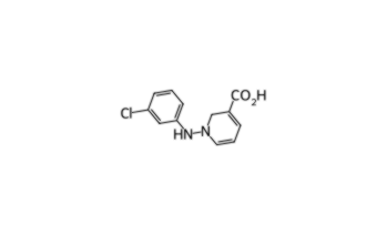 O=C(O)C1=CC=CN(Nc2cccc(Cl)c2)C1